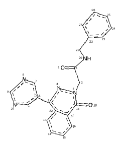 O=C(Cn1nc(-c2cncnc2)c2ccccc2c1=O)NCc1ccccc1